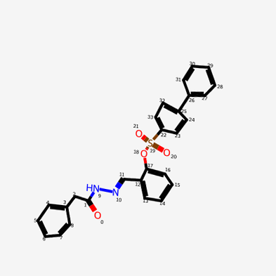 O=C(Cc1ccccc1)NN=Cc1ccccc1OS(=O)(=O)c1ccc(-c2ccccc2)cc1